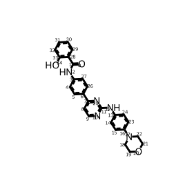 O=C(Nc1ccc(-c2ccnc(Nc3ccc(N4CCOCC4)cc3)n2)cc1)c1ccccc1O